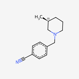 C[C@H]1CCCN(Cc2ccc(C#N)cc2)C1